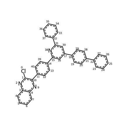 Clc1nc2ccccc2nc1-c1ccc(-c2cc(-c3ccc(-c4ccccc4)cc3)cc(-c3ccccc3)n2)cc1